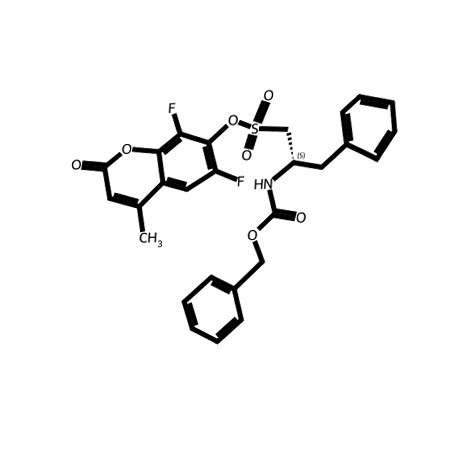 Cc1cc(=O)oc2c(F)c(OS(=O)(=O)C[C@H](Cc3ccccc3)NC(=O)OCc3ccccc3)c(F)cc12